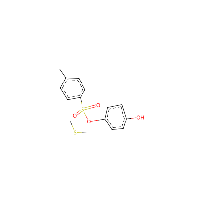 CSC.Cc1ccc(S(=O)(=O)Oc2ccc(O)cc2)cc1